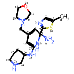 Cc1cnc(C2(N)C=C(CN3CCOCC3)C=C(NC3CCCNC3)N2)s1